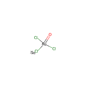 [O]=[Ru]([Cl])([Cl])[Cl].[Sn]